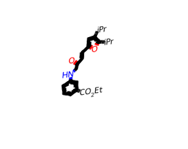 CCOC(=O)c1cccc(NCC(=O)C=Cc2cc(C(C)C)c(C(C)C)o2)c1